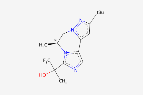 C[C@H]1Cn2nc(C(C)(C)C)cc2-c2cnc(C(C)(O)C(F)(F)F)n21